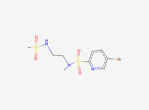 CN(CCNS(C)(=O)=O)S(=O)(=O)c1ccc(Br)cn1